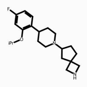 CC(C)Oc1cc(F)ccc1C1CCN(C2CCC3(CNC3)C2)CC1